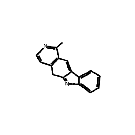 Cc1nccc2c1C=C1C(=Nc3ccccc31)C2